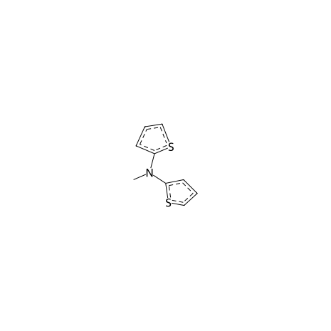 CN(c1cccs1)c1cccs1